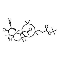 CC(=O)/C=C1/[C@@]2(C)C=C(C#N)C(=O)C(C)(C)[C@@H]2CC[C@@]1(C)[C@@]1(C)CCCC(C)(C)CC[C@](C)(CCC(=O)OC(C)(C)C)CC1